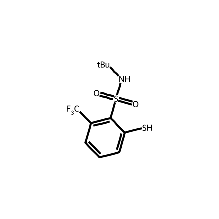 CC(C)(C)NS(=O)(=O)c1c(S)cccc1C(F)(F)F